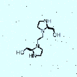 OC=C1NCCN1CCN1CCNC1=CO